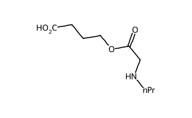 CCCNCC(=O)OCCCC(=O)O